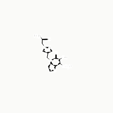 NC(=O)Cn1cc(Cn2c(=O)c(O)c(C(=O)O)c3sccc32)cn1